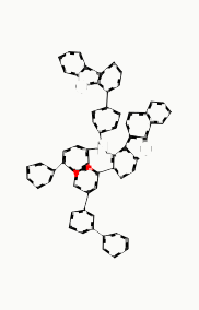 c1ccc(-c2ccc(N(c3ccc(-c4cccc5c4oc4ccccc45)cc3)c3c(-c4cccc(-c5cccc(-c6ccccc6)c5)c4)ccc4oc5c6ccccc6ccc5c34)cc2)cc1